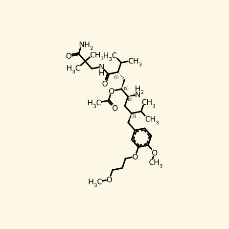 COCCCOc1cc(C[C@@H](C[C@H](N)[C@H](C[C@H](C(=O)NCC(C)(C)C(N)=O)C(C)C)OC(C)=O)C(C)C)ccc1OC